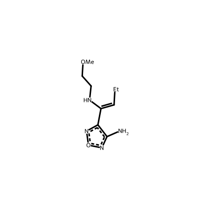 CC/C=C(\NCCOC)c1nonc1N